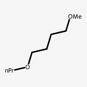 [CH2]OCCCCOCCC